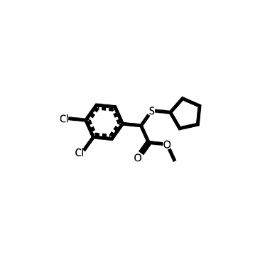 COC(=O)C(SC1CCCC1)c1ccc(Cl)c(Cl)c1